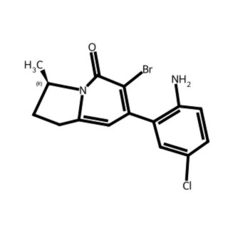 C[C@@H]1CCc2cc(-c3cc(Cl)ccc3N)c(Br)c(=O)n21